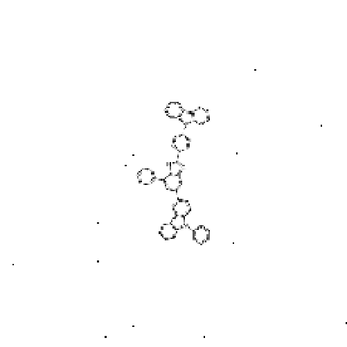 c1ccc(-c2cc(-c3ccc4c(c3)c3ccccc3n4-c3ccccc3)cc3oc(-c4ccc(-n5c6ccccc6c6ccccc65)cc4)nc23)cc1